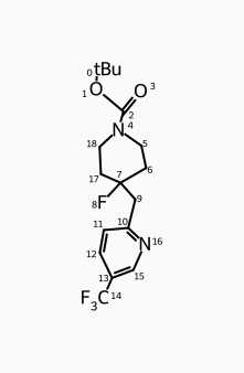 CC(C)(C)OC(=O)N1CCC(F)(Cc2ccc(C(F)(F)F)cn2)CC1